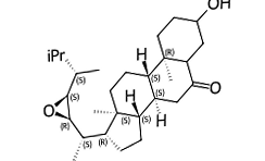 CC(C)[C@H](C)[C@@H]1O[C@@H]1[C@@H](C)[C@H]1CC[C@H]2[C@@H]3CC(=O)C4CC(O)CC[C@]4(C)[C@H]3CC[C@]12C